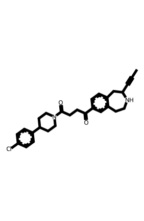 CC#CC1Cc2ccc(C(=O)CCC(=O)N3CCC(c4ccc(Cl)cc4)CC3)cc2CCN1